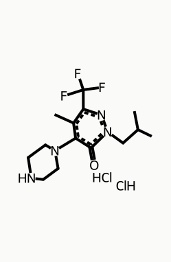 Cc1c(C(F)(F)F)nn(CC(C)C)c(=O)c1N1CCNCC1.Cl.Cl